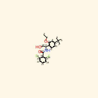 CCOc1cc(C(C)(C)C)ccc1C(CO)NC(=O)c1c(F)cccc1F